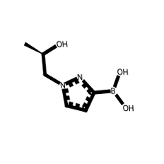 C[C@@H](O)Cn1ccc(B(O)O)n1